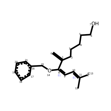 C=C(CCCCCO)/C(=C\C=C(/C)F)OCc1ccccc1